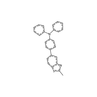 Cc1nc2cc(-c3ccc(N(c4ccccc4)c4ccccc4)cc3)ccc2s1